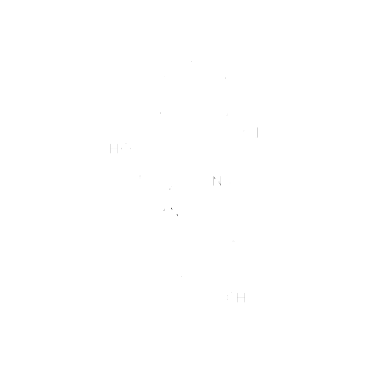 Cc1ccn2c(CO)c(-c3ccccc3Cl)nc2c1